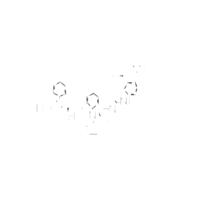 COC(=O)c1cccc(NC(=O)NCC(=O)[N+](C)(c2ccccc2OCC(=O)N(C)c2ccccc2)C2CCCC2)c1